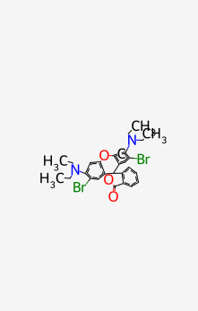 CCN(CC)c1cc2c(cc1Br)C1(OC(=O)c3ccccc31)c1cc(Br)c(N(CC)CC)cc1O2